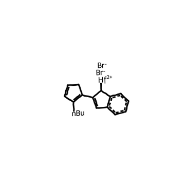 CCCCC1=C(C2=Cc3ccccc3[CH]2[Hf+2])CC=C1.[Br-].[Br-]